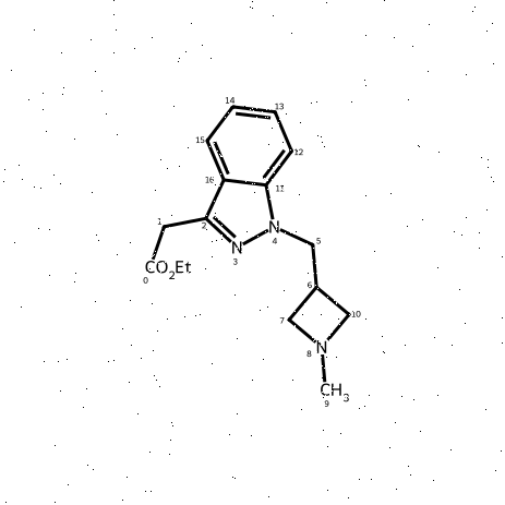 CCOC(=O)Cc1nn(CC2CN(C)C2)c2ccccc12